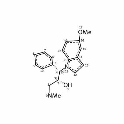 CNC[C@@H](O)[C@H](c1ccccc1)n1ccc2cc(OC)ccc21